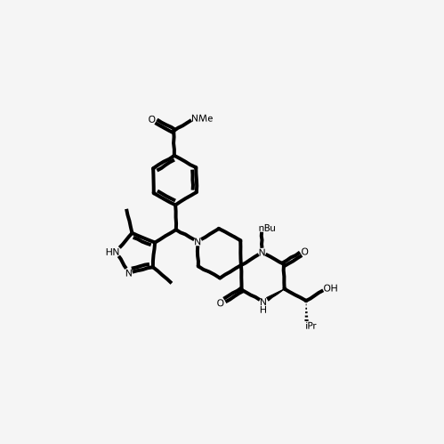 CCCCN1C(=O)[C@@H]([C@H](O)C(C)C)NC(=O)C12CCN(C(c1ccc(C(=O)NC)cc1)c1c(C)n[nH]c1C)CC2